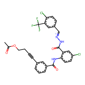 CC(=O)OCCC#Cc1cccc(C(=O)Nc2ccc(Cl)cc2C(=O)N/N=C/c2ccc(Cl)c(C(F)(F)F)c2)c1